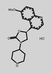 COc1ccc2nccc([C@H]3CN(C4CCNCC4)C(=O)O3)c2c1.Cl